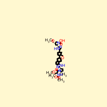 COC[C@H]1C[C@@H](c2ncc(-c3ccc4c(c3)COc3cc5c(ccc6nc([C@@H]7CC[C@H](C)N7C(=O)[C@@H](NC(=O)OC)C(C)OC)[nH]c65)cc3-4)[nH]2)N(C(=O)O)C1